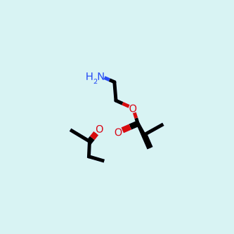 C=C(C)C(=O)OCCN.CCC(C)=O